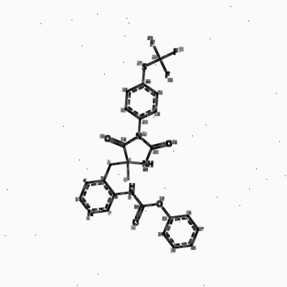 CC1(Cc2ccncc2NC(=O)Oc2ccccc2)NC(=O)N(c2ccc(SC(F)(F)F)cc2)C1=O